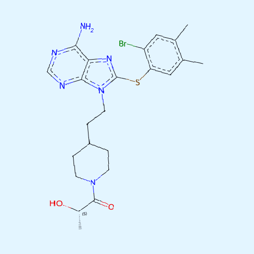 Cc1cc(Br)c(Sc2nc3c(N)ncnc3n2CCC2CCN(C(=O)[C@H](C)O)CC2)cc1C